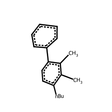 CCCCc1ccc(-c2ccccc2)c(C)c1C